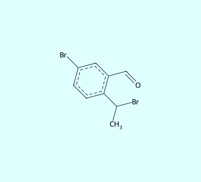 CC(Br)c1ccc(Br)cc1C=O